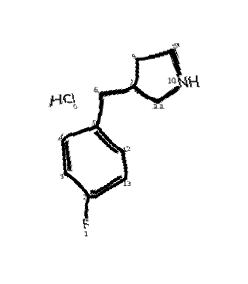 Cl.Fc1ccc(CC2CCNC2)cc1